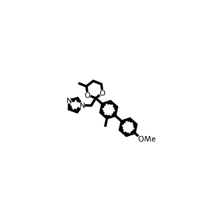 COc1ccc(-c2ccc(C3(Cn4ccnc4)OCCC(C)O3)cc2C)cc1